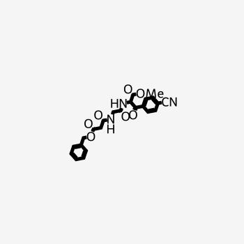 COC(=O)C(NC(=O)CNC(=O)CC(=O)OCc1ccccc1)C(=O)c1ccc(C#N)cc1